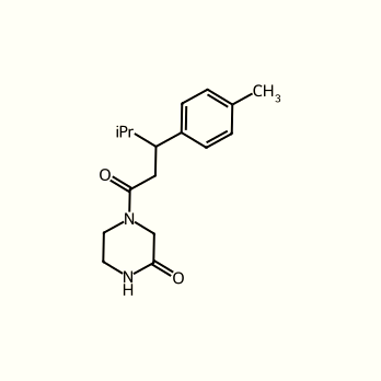 Cc1ccc(C(CC(=O)N2CCNC(=O)C2)C(C)C)cc1